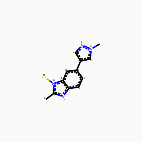 Cc1nc2ccc(-c3cnn(C)c3)cc2n1S